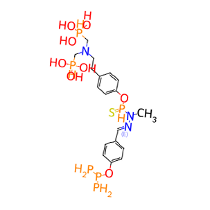 CN(/N=C/c1ccc(OP(P)P)cc1)[PH](=S)Oc1ccc(CCN(C[PH](O)(O)O)C[PH](O)(O)O)cc1